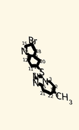 CC1=CCn2c(nnc2Sc2ccc3ncc(Br)cc3c2)C=C1